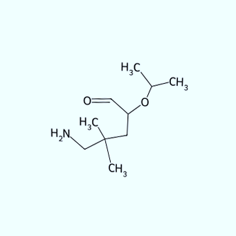 CC(C)OC(C=O)CC(C)(C)CN